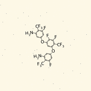 Nc1cc(Oc2cc(Oc3cc(N)c(C(F)(F)F)c(F)c3)c(C(F)(F)F)c(F)c2F)cc(F)c1C(F)(F)F